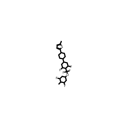 Cc1ccc(C2CCC(C3CC(F)C(C(F)(F)OC4CC(F)C(C)C(F)C4)C(F)C3)CC2)s1